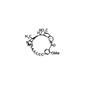 COc1cc2ccc1C(=O)N1CCc3ccc(cc3C1)[C@@H](CC(=O)O)c1ccc3c(nnn3CCCCCC2)c1C